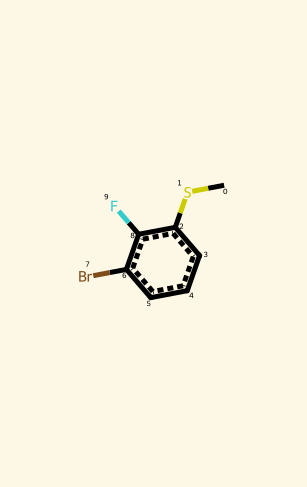 CSc1cc[c]c(Br)c1F